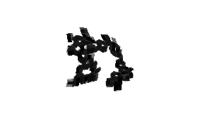 CO[C@@H](C)COc1cc(O[C@H]2CCNC2)c2cc(C3CC3)c(-c3c(C)c(F)cc4[nH]ncc34)c(OCc3ccc(C(=O)N4CCN(Cc5ccc6c(c5)n(C)c(=O)n6C5CCC(=O)NC5=O)C[C@@H]4C)cc3)c2n1